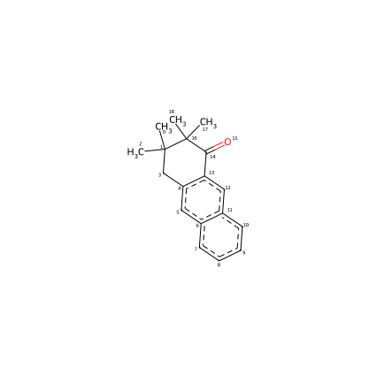 CC1(C)Cc2cc3ccccc3cc2C(=O)C1(C)C